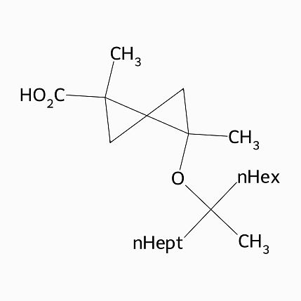 CCCCCCCC(C)(CCCCCC)OC1(C)CC12CC2(C)C(=O)O